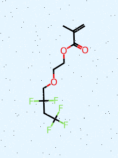 C=C(C)C(=O)OCCOCC(F)(F)CC(F)(F)F